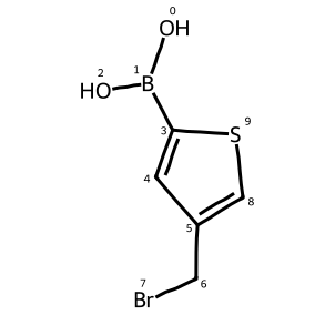 OB(O)c1cc(CBr)cs1